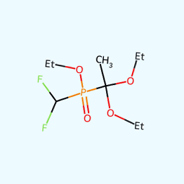 CCOC(C)(OCC)P(=O)(OCC)C(F)F